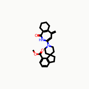 C=C1C=C(N2CCC3(CCc4cccc(C(=O)OC)c43)CC2)NC(=O)C2=C1CCCC2